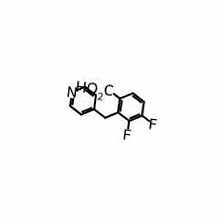 O=C(O)c1ccc(F)c(F)c1Cc1ccncc1